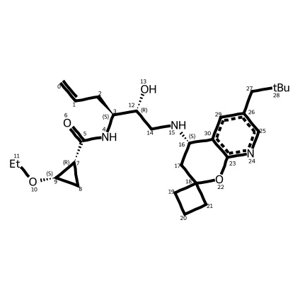 C=CC[C@H](NC(=O)[C@@H]1C[C@@H]1OCC)[C@H](O)CN[C@H]1CC2(CCC2)Oc2ncc(CC(C)(C)C)cc21